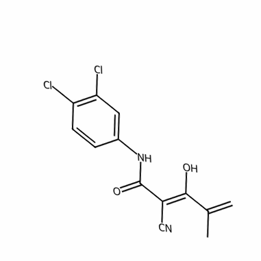 C=C(C)C(O)=C(C#N)C(=O)Nc1ccc(Cl)c(Cl)c1